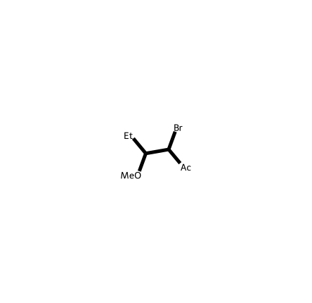 CCC(OC)C(Br)C(C)=O